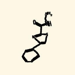 NNC(=O)c1nc(-c2ccccc2)cs1